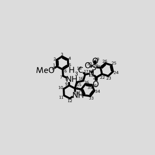 COc1ccccc1CNC1CCCNC1(CCC(C)N1C(=O)C2CC=CC=C2S1(=O)=O)c1ccccc1